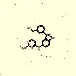 Nc1nccc(Nc2ccc3[nH]nc(-c4cccc(CO)c4)c3c2)n1